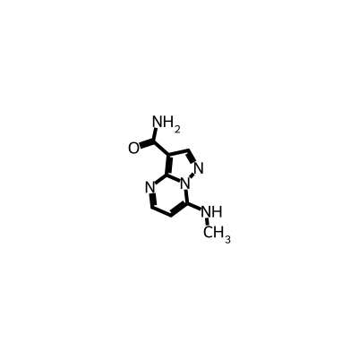 CNc1ccnc2c(C(N)=O)cnn12